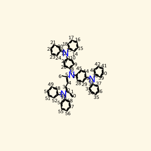 C=C/C(=C\C=C(/C)N(c1ccc(N(c2ccccc2)c2ccccc2)cc1)c1ccc(N(c2ccccc2)c2ccccc2)cc1)N(c1ccccc1)c1ccccc1